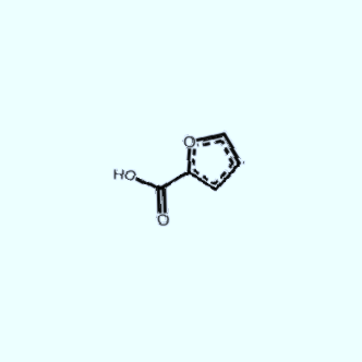 O=C(O)c1c[c]co1